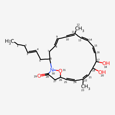 CCC/C=C/CC1C/C=C/C=C(C)/C=C/C=C\C(O)C(O)/C=C(C)\C=C\C2CC(=O)N1O2